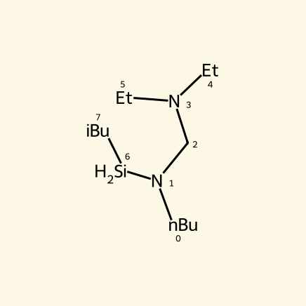 CCCCN(CN(CC)CC)[SiH2]C(C)CC